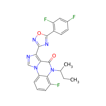 CCC(C)n1c(=O)c2c(-c3noc(-c4ccc(F)cc4F)n3)ncn2c2cccc(F)c21